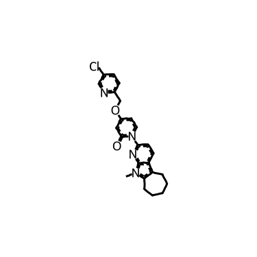 Cn1c2c(c3ccc(-n4ccc(OCc5ccc(Cl)cn5)cc4=O)nc31)CCCCC2